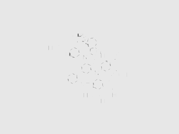 Cc1ccccc1-c1cc2c3c(c1)N(c1ccc4c(c1)C(C)(C)CCC4(C)C)c1c(oc4ccc(C(C)(C)C)cc14)B3c1cc3c(cc1N2c1ccc2c(c1)C(C)(C)CCC2(C)C)C(C)(C)CCC3(C)C